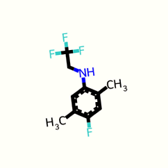 Cc1cc(NCC(F)(F)F)c(C)cc1F